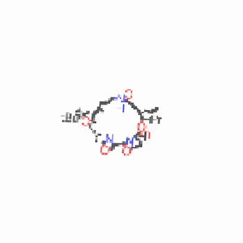 C=CC[C@@H]1/C=C/C(=O)NC/C=C/C(C)=C/C(O[Si](C)(C)C(C)(C)C)CCCc2nc(co2)C(=O)N2CCC[C@@H]2C(=O)O[C@@H]1C(C)C